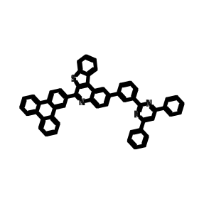 c1ccc(-c2cc(-c3ccccc3)nc(-c3cccc(-c4ccc5nc(-c6ccc7c8ccccc8c8ccccc8c7c6)c6sc7ccccc7c6c5c4)c3)n2)cc1